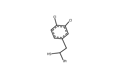 CC(C)C(S)Cc1ccc(Cl)c(Cl)c1